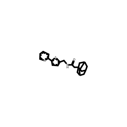 O=C(CC12CC3CC(CC(C3)C1)C2)NCc1ccc(-c2ccccn2)s1